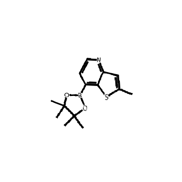 Cc1cc2nccc(B3OC(C)(C)C(C)(C)O3)c2s1